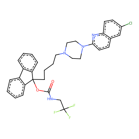 O=C(NCC(F)(F)F)OC1(CCCCN2CCN(c3ccc4cc(Cl)ccc4n3)CC2)c2ccccc2-c2ccccc21